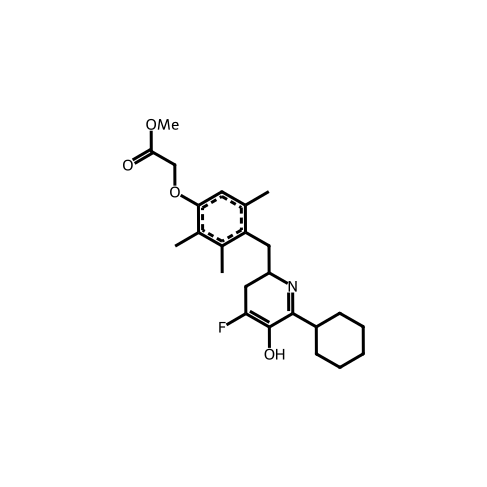 COC(=O)COc1cc(C)c(CC2CC(F)=C(O)C(C3CCCCC3)=N2)c(C)c1C